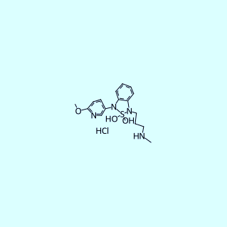 CNCCCN1c2ccccc2N(c2ccc(OC)nc2)S1(O)O.Cl